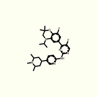 CC(C)N1CC(C)(C)Oc2c(F)cc(-c3nc(Nc4ccc(C5CC(C)N(C)C(C)C5)cn4)ncc3F)cc21